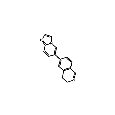 C1=NCCc2cc(-c3ccc4nccn4c3)ccc21